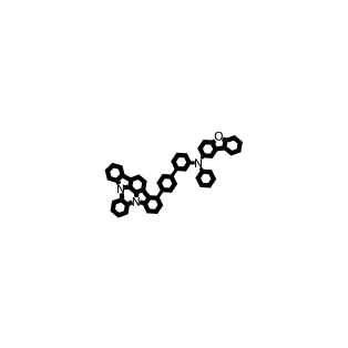 c1ccc(N(c2cccc(-c3ccc(-c4cccc5c4c4ccc6c7ccccc7n7c8ccccc8n5c4c67)cc3)c2)c2ccc3oc4ccccc4c3c2)cc1